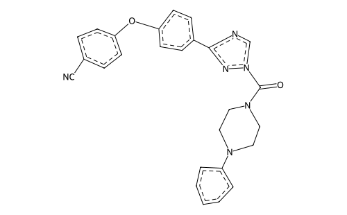 N#Cc1ccc(Oc2ccc(-c3ncn(C(=O)N4CCN(c5ccccc5)CC4)n3)cc2)cc1